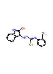 Cc1ccccc1/N=C(S)/N=N/c1c(O)[nH]c2ccccc12